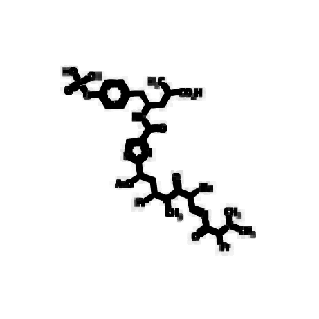 CC[C@H](C)C(/C=N/C(=O)C(C(C)C)N(C)C)C(=O)N(C)[C@H](C[C@@H](OC(C)=O)c1nc(C(=O)N[C@@H](Cc2ccc(OP(=O)(O)O)cc2)CC(C)C(=O)O)cs1)C(C)C